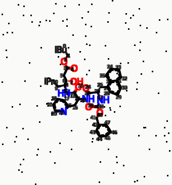 CCC(C)COC(=O)C[C@H](O)[C@H](CC(C)C)NC(=O)C(Cc1ccccn1)NC(=O)[C@H](Cc1cccc2ccccc12)NC(=O)OCc1ccccc1